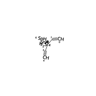 C#C[SiH2]C#C.[SnH4].[SnH4]